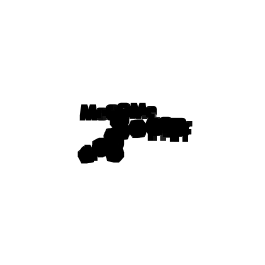 COc1cc2c(-c3ccc(-c4ccc(O[Si](C(C)C)(C(C)C)C(C)C)cc4)cc3)cc3c(c2cc1OC)C=CC(c1ccccc1)(c1ccc(N2CCCC2)cc1)O3